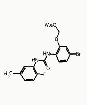 COCOc1cc(Br)ccc1NC(=O)Nc1cc(C)ccc1F